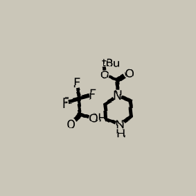 CC(C)(C)OC(=O)N1CCNCC1.O=C(O)C(F)(F)F